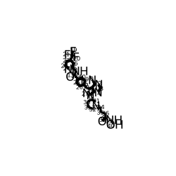 Nc1ncnc2c1c(-c1ccc(C(=O)Nc3cc(C(F)(F)F)ccn3)cc1)nn2C1CCCN(CCCC(=O)NO)C1